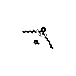 CC1=CC=CC1.CCCCCCCCOC(=O)c1ccccc1C(=O)OCCCCCCCC